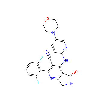 N#Cc1c(-c2c(F)cccc2F)nc2c(c1Nc1ccc(N3CCOCC3)cn1)C(=O)NC2